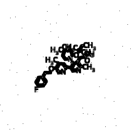 CCC(C)(C)O[C@H](C(=O)O)c1c(C)ncc(-c2cc(C)c(OCCc3ccc(F)cc3)cn2)c1N1CCC(C)(C)CC1